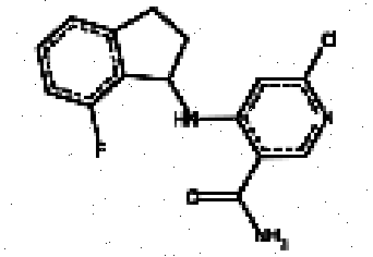 NC(=O)c1cnc(Cl)cc1NC1CCc2cccc(F)c21